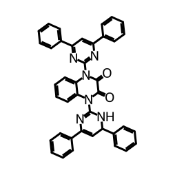 O=c1c(=O)n(-c2nc(-c3ccccc3)cc(-c3ccccc3)n2)c2ccccc2n1C1=NC(c2ccccc2)=CC(c2ccccc2)N1